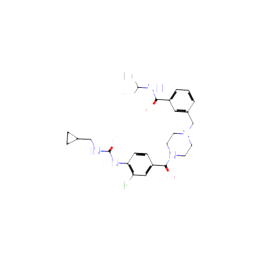 CCC(CC)NC(=O)c1cccc(CN2CCN(C(=O)c3ccc(NC(=O)NCC4CC4)c(F)c3)CC2)c1